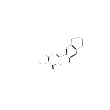 CCCCCNc1c(CC)nc(-c2cc3c(cc2Cl)CCCC3)n(C)c1=O